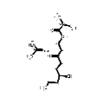 CCCC(C)CCC(=O)CCOC(=S)N(C)C.NC(O)=S